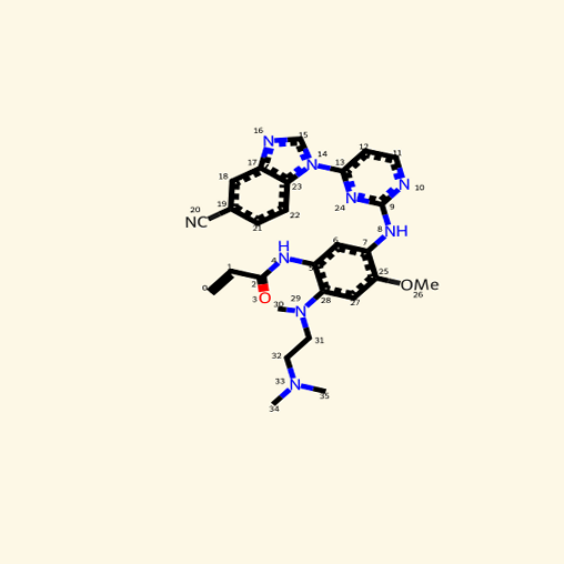 C=CC(=O)Nc1cc(Nc2nccc(-n3cnc4cc(C#N)ccc43)n2)c(OC)cc1N(C)CCN(C)C